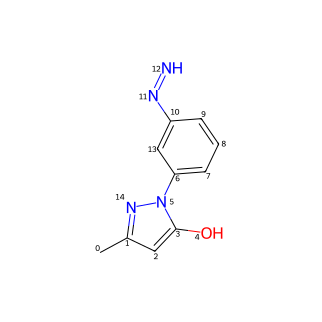 Cc1cc(O)n(-c2cccc(N=N)c2)n1